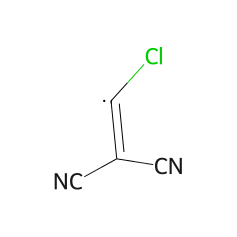 N#CC(=[C]Cl)C#N